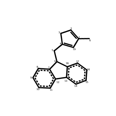 CC1=CCC(CC2c3ccccc3-c3ccccc32)=C1